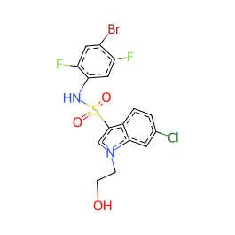 O=S(=O)(Nc1cc(F)c(Br)cc1F)c1cn(CCO)c2cc(Cl)ccc12